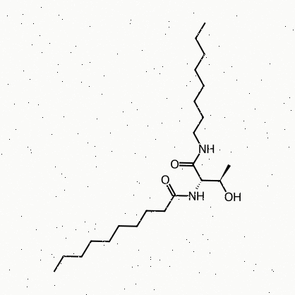 CCCCCCCCCC(=O)N[C@H](C(=O)NCCCCCCCC)[C@@H](C)O